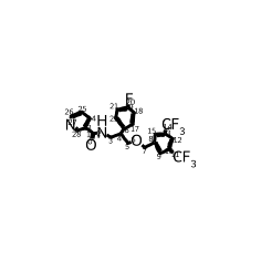 O=C(NCC(COCc1cc(C(F)(F)F)cc(C(F)(F)F)c1)c1ccc(F)cc1)c1cccnc1